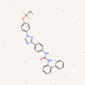 O=C(Nc1ccc(-c2ncn(-c3ccc(OC(F)(F)C(F)(F)F)cc3)n2)cc1)Nc1ccccc1-c1ccccc1